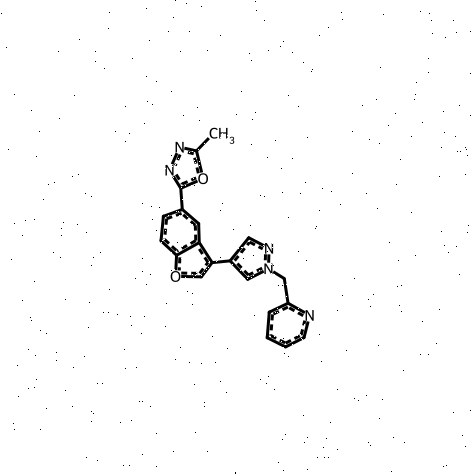 Cc1nnc(-c2ccc3occ(-c4cnn(Cc5ccccn5)c4)c3c2)o1